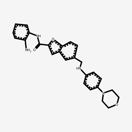 Nc1ccccc1NC(=O)c1cc2cc(CNc3ccc(N4CCOCC4)cc3)ccc2o1